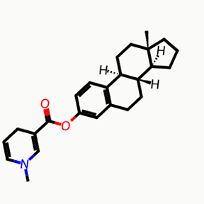 CN1C=CCC(C(=O)Oc2ccc3c(c2)CC[C@@H]2[C@@H]3CC[C@]3(C)CCC[C@@H]23)=C1